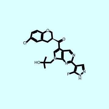 CC(C)(O)Cn1cc(C(=O)[C@@H]2COc3ccc(Cl)cc3C2)c2cnc(-c3cn[nH]c3F)nc21